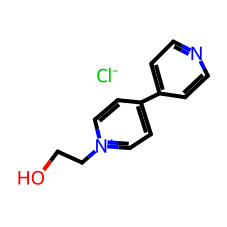 OCC[n+]1ccc(-c2ccncc2)cc1.[Cl-]